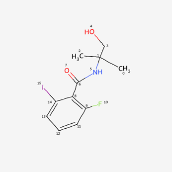 CC(C)(CO)NC(=O)c1c(F)cccc1I